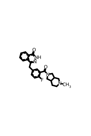 CN1CCC2CN(C(=O)c3cc(Cc4n[nH]c(=O)c5ccccc45)ccc3F)CC2C1